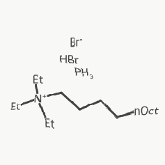 Br.CCCCCCCCCCCC[N+](CC)(CC)CC.P.[Br-]